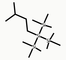 CC(C)CC[Si]([Si](C)(C)C)([Si](C)(C)C)[Si](C)(C)C